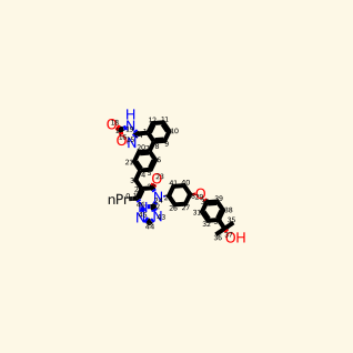 CCCc1c(Cc2ccc(-c3ccccc3-c3noc(=O)[nH]3)cc2)c(=O)n([C@H]2CC[C@H](Oc3ccc(C(C)(C)O)cc3)CC2)c2ncnn12